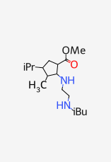 CCC(C)NCCNC1C(C(=O)OC)CC(C(C)C)C1C